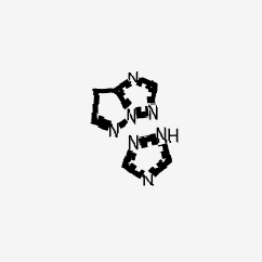 C1=Nn2ncnc2C1.c1nc[nH]n1